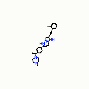 C=C(c1ccc(C(=N)/C=C\c2ncc(C#Cc3ccccc3C)[nH]2)cc1)N1CCN(C)CC1